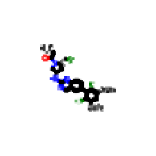 C=CC(=O)N1C[C@@H](Nc2ncc3cc(-c4c(Cl)c(OC)cc(OC)c4Cl)ccc3n2)C[C@H]1CBr